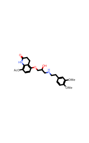 COc1ccc(CCNCC(O)COc2ccc(OC(C)=O)c3c2CCC(=O)N3)cc1OC